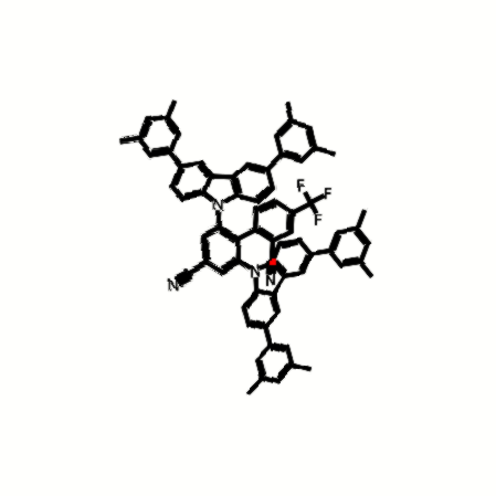 Cc1cc(C)cc(-c2ccc3c(c2)c2cc(-c4cc(C)cc(C)c4)ccc2n3-c2cc(C#N)cc(-n3c4ccc(-c5cc(C)cc(C)c5)cc4c4cc(-c5cc(C)cc(C)c5)ccc43)c2-c2ccc(C(F)(F)F)cc2C#N)c1